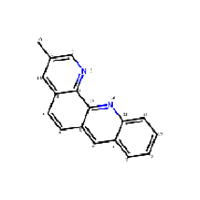 Cc1cnc2c(ccc3cc4ccccc4nc32)c1